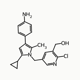 Cc1c(-c2ccc(N)cc2)cc(C2CC2)n1Cc1cnc(Cl)c(CO)c1